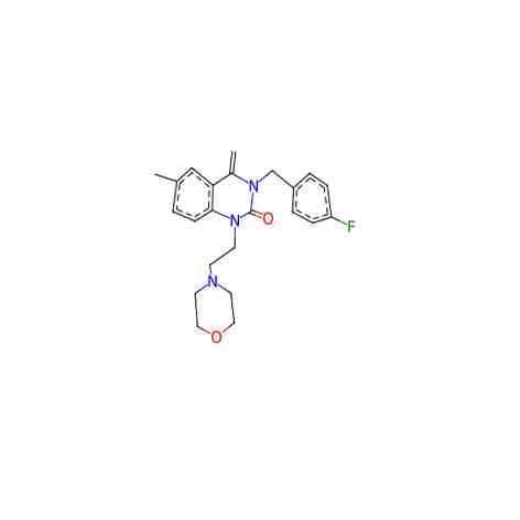 C=C1c2cc(C)ccc2N(CCN2CCOCC2)C(=O)N1Cc1ccc(F)cc1